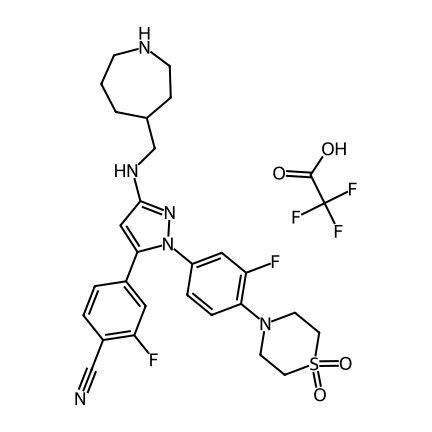 N#Cc1ccc(-c2cc(NCC3CCCNCC3)nn2-c2ccc(N3CCS(=O)(=O)CC3)c(F)c2)cc1F.O=C(O)C(F)(F)F